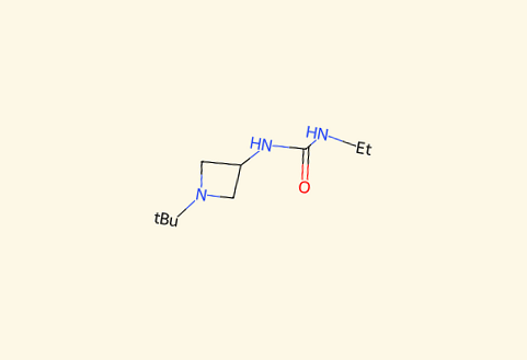 CCNC(=O)NC1CN(C(C)(C)C)C1